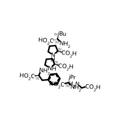 CC(C)[C@H](N)C(=O)O.CC[C@H](C)[C@H](N)C(=O)O.NCC(=O)O.N[C@@H](Cc1ccccc1)C(=O)O.O=C(O)[C@@H]1CCCN1.O=C(O)[C@@H]1CCCN1